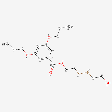 CCCCCCCCCCCCOc1cc(OCCCCCCCCCCCC)cc(C(=O)OCCSSCCO)c1